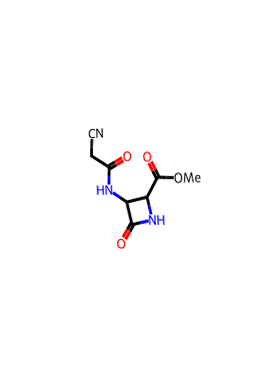 COC(=O)C1NC(=O)C1NC(=O)CC#N